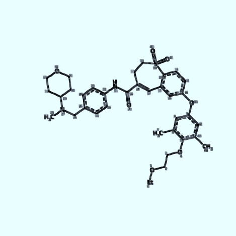 CCOCCOc1c(C)cc(Oc2ccc3c(c2)C=C(C(=O)Nc2ccc(CN(C)C4CCOCC4)cc2)CCS3(=O)=O)cc1C